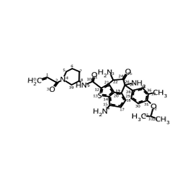 C=CC(=O)N1CCCC(NC(=O)c2sc3c(N)ccc4c3c2C(N)C(=O)C4(N)c2ccc(OC(C)C)c(C)c2)C1